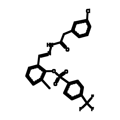 Cc1cccc(C=NNC(=O)Cc2cccc(Cl)c2)c1OS(=O)(=O)c1ccc(C(F)(F)F)cc1